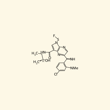 CNc1cc(Cl)ccc1C(=N)c1cnc2c(n1)c(C(=O)NC(C)[C@H](C)O)cn2SF